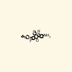 Nc1ccc2c3c([nH]c2c1)C1(CCOCC1)c1cc(N2CCN(C4CCC4)CC2)c(F)cc1C3=O